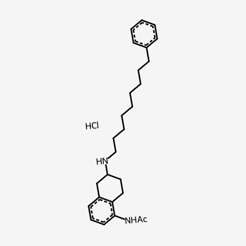 CC(=O)Nc1cccc2c1CCC(NCCCCCCCCCc1ccccc1)C2.Cl